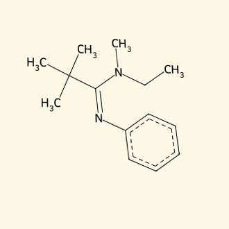 CCN(C)C(=Nc1ccccc1)C(C)(C)C